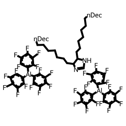 CCCCCCCCCCCCCCCCCC1N=CNC1CCCCCCCCCCCCCCCCC.Fc1c(F)c(F)[c]([Al]([c]2c(F)c(F)c(F)c(F)c2F)[c]2c(F)c(F)c(F)c(F)c2F)c(F)c1F.Fc1c(F)c(F)[c]([Al]([c]2c(F)c(F)c(F)c(F)c2F)[c]2c(F)c(F)c(F)c(F)c2F)c(F)c1F